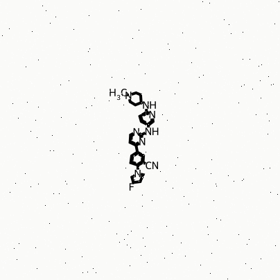 CN1CCC(Nc2ccc(Nc3nccc(-c4ccc(N5CC[C@@H](F)C5)c(C#N)c4)n3)cn2)CC1